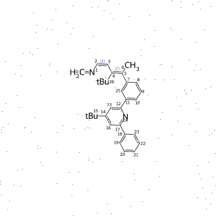 C=N/C=C\C(=C(/C)c1cccc(-c2cc(C(C)(C)C)cc(-c3ccccc3)n2)c1)C(C)(C)C